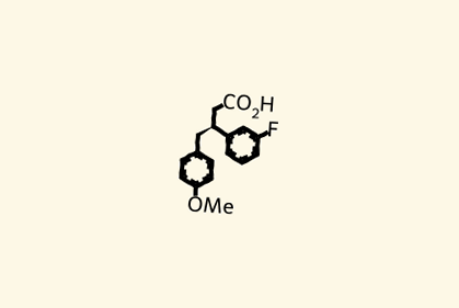 COc1ccc(C[C@@H](CC(=O)O)c2cccc(F)c2)cc1